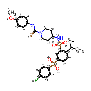 COc1ccc(NC(=S)N2CCC(NS(=O)(=O)c3cc(S(=O)(=O)c4ccc(F)cc4)ccc3C(C)C)CC2)cc1